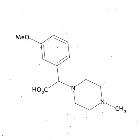 COc1cccc(C(C(=O)O)N2CCN(C)CC2)c1